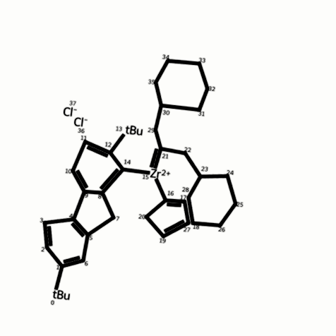 CC(C)(C)c1ccc2c(c1)Cc1c-2ccc(C(C)(C)C)[c]1[Zr+2]([C]1=CC=CC1)=[C](CC1CCCCC1)CC1CCCCC1.[Cl-].[Cl-]